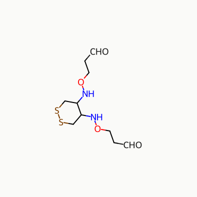 O=CCCONC1CSSCC1NOCCC=O